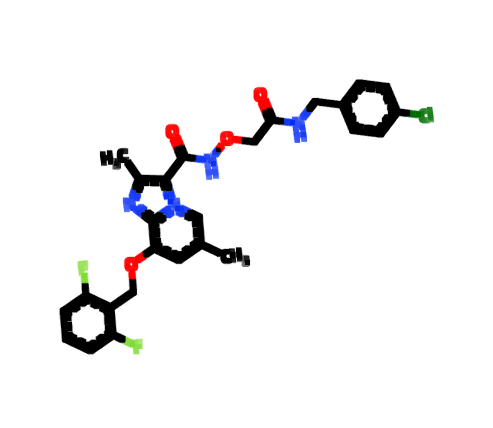 Cc1cc(OCc2c(F)cccc2F)c2nc(C)c(C(=O)NOCC(=O)NCc3ccc(Cl)cc3)n2c1